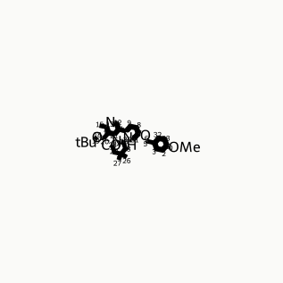 COc1ccc(COc2ccc(-c3cnc(C)c(C(OC(C)(C)C)C(=O)O)c3N3CCC(C)(C)CC3)nc2)cc1